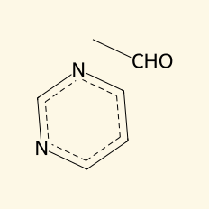 CC=O.c1cncnc1